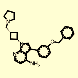 Nc1ccnc2c1c(-c1cccc(OCc3ccccc3)c1)cn2[C@H]1C[C@@H](CN2CCCC2)C1